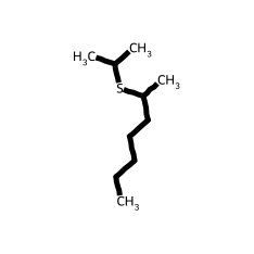 CCCCCC(C)SC(C)C